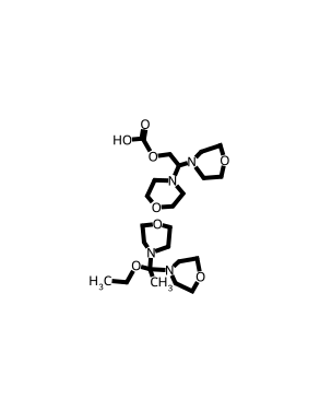 CCOC(C)(N1CCOCC1)N1CCOCC1.O=C(O)OCC(N1CCOCC1)N1CCOCC1